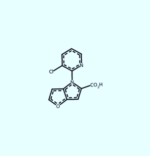 O=C(O)c1cc2occc2n1-c1ncccc1Cl